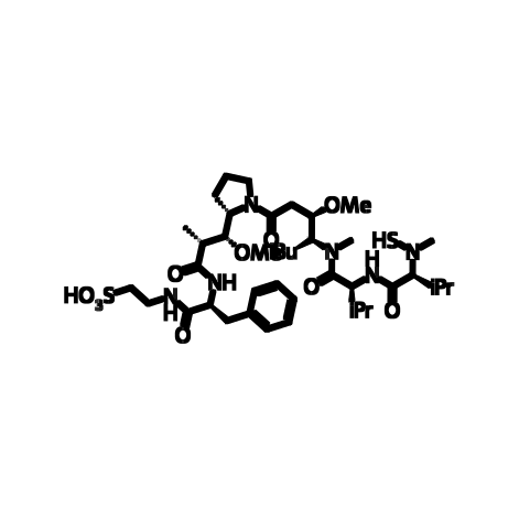 CC[C@H](C)[C@@H]([C@@H](CC(=O)N1CCC[C@H]1[C@H](OC)[C@@H](C)C(=O)N[C@@H](Cc1ccccc1)C(=O)NCCS(=O)(=O)O)OC)N(C)C(=O)[C@@H](NC(=O)[C@H](C(C)C)N(C)S)C(C)C